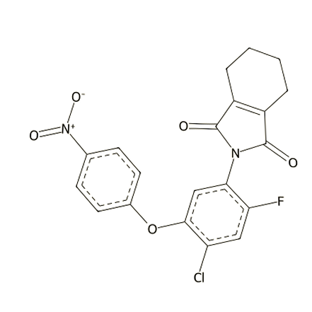 O=C1C2=C(CCCC2)C(=O)N1c1cc(Oc2ccc([N+](=O)[O-])cc2)c(Cl)cc1F